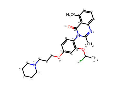 Cc1cccc2nc(C)n(-c3ccc(OCCCN4CCCCC4)cc3OC(C)F)c(=O)c12